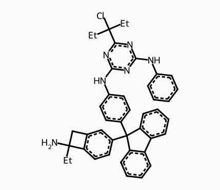 CCC1(N)Cc2cc(C3(c4ccc(Nc5nc(Nc6ccccc6)nc(C(Cl)(CC)CC)n5)cc4)c4ccccc4-c4ccccc43)ccc21